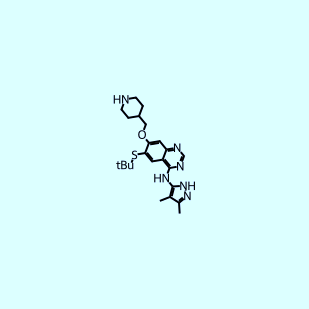 Cc1n[nH]c(Nc2ncnc3cc(OCC4CCNCC4)c(SC(C)(C)C)cc23)c1C